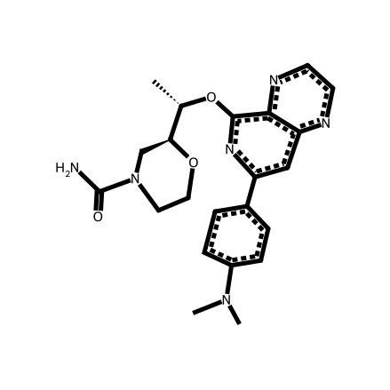 C[C@H](Oc1nc(-c2ccc(N(C)C)cc2)cc2nccnc12)[C@@H]1CN(C(N)=O)CCO1